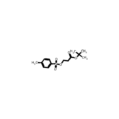 Cc1ccc(S(=O)(=O)OCCC(=O)OC(C)(C)C)cc1